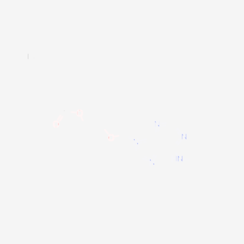 Cc1ccc(C(=O)OC[C@@H]2CC[C@H](n3cnc4c(NCC5CC5)ncnc43)O2)cc1